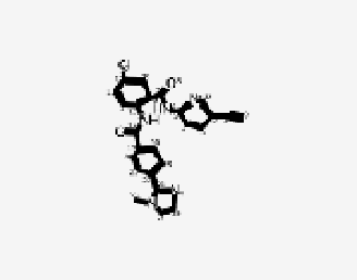 C#Cc1ccc(NC(=O)c2cc(Cl)ccc2NC(=O)c2ccc(C3=NCCN3C)cc2)nc1